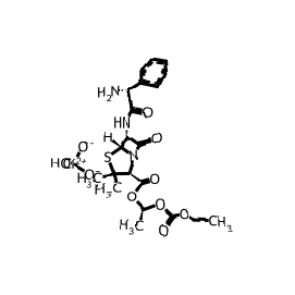 CCOC(=O)O[C@@H](C)OC(=O)[C@@H]1N2C(=O)[C@@H](NC(=O)[C@H](N)c3ccccc3)[C@H]2SC1(C)C.[O-][Cl+2]([O-])O